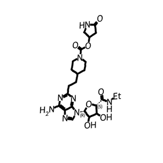 CCNC(=O)[C@H]1O[C@@H](n2cnc3c(N)nc(CCC4CCN(C(=O)OC5CNC(=O)C5)CC4)nc32)C(O)C1O